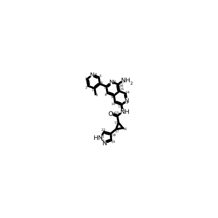 Cc1ccncc1-c1cc2cc(NC(=O)C3CC3c3cn[nH]c3)ncc2c(N)n1